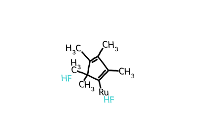 CC1=C(C)C(C)(C)[C]([Ru])=C1C.F.F